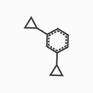 [c]1ccc(C2CC2)cc1C1CC1